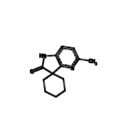 Cc1ccc2c(n1)C1(CCCCC1)C(=O)N2